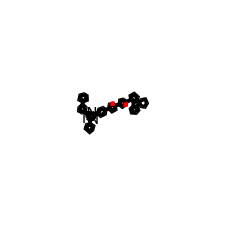 c1ccc(-c2cccc(-c3nc(-c4ccccc4)nc(-c4ccc(-c5ccc(-c6ccc(-c7cccc8c7-c7ccccc7C87CCCCC7)cc6)cc5)cc4)n3)c2)cc1